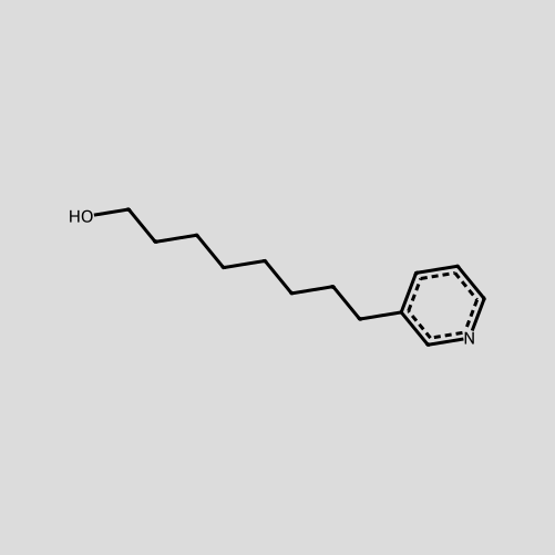 OCCCCCCCCc1cccnc1